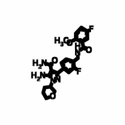 COc1ccc(F)cc1C(=O)NCc1ccc(-c2nn(C3CCCOC3)c(N)c2C(N)=O)cc1F